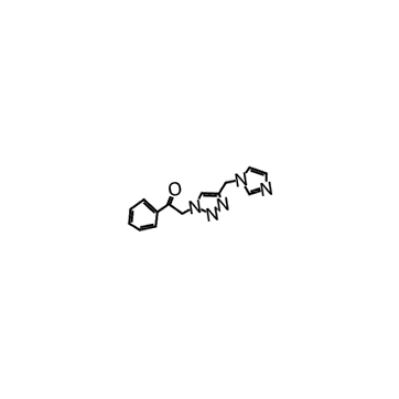 O=C(Cn1cc(Cn2ccnc2)nn1)c1ccccc1